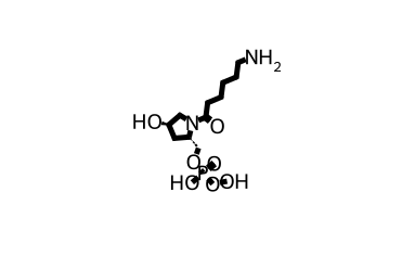 NCCCCCC(=O)N1C[C@H](O)C[C@H]1COP(=O)(O)OO